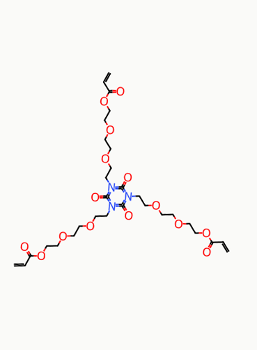 C=CC(=O)OCCOCCOCCn1c(=O)n(CCOCCOCCOC(=O)C=C)c(=O)n(CCOCCOCCOC(=O)C=C)c1=O